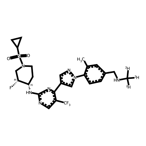 [2H]C([2H])([2H])NCc1ccc(-n2cc(-c3nc(N[C@H]4CCN(S(=O)(=O)C5CC5)C[C@H]4F)ncc3C(F)(F)F)cn2)c(C)c1